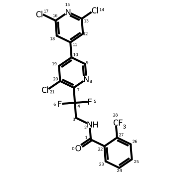 O=C(NCC(F)(F)c1ncc(-c2cc(Cl)nc(Cl)c2)cc1Cl)c1ccccc1C(F)(F)F